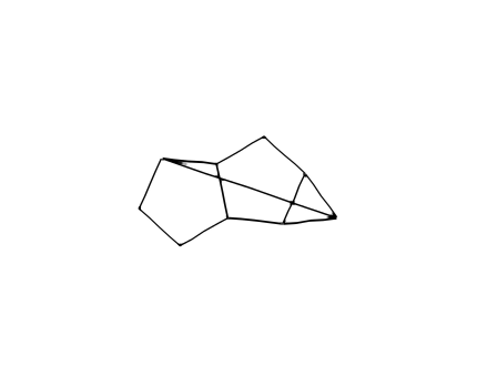 [CH]1C2C3CCC2C2C1C32